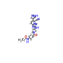 C=CC(=O)Nc1ccc(C(=O)N2CCC(Nc3nc4ccc(-c5cn[nH]c5)c(C#N)n4n3)C2)cc1